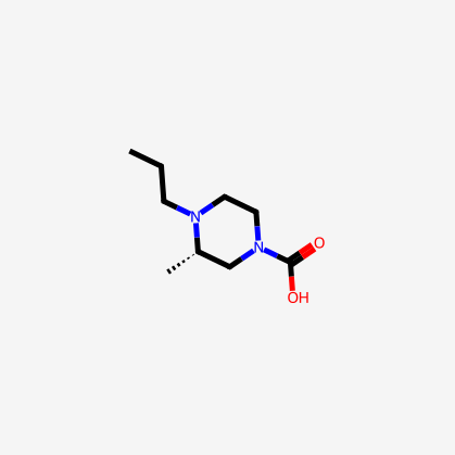 CCCN1CCN(C(=O)O)C[C@@H]1C